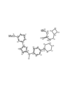 COc1cncc(-c2cn(C(C)c3ccc(N4CCC[C@@H](N(CC5CCC5)C(=O)OC(C)(C)C)C4)cn3)nn2)c1